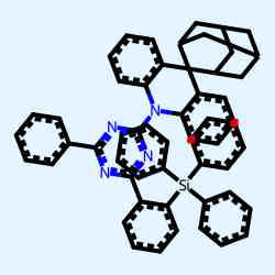 c1ccc(-c2nc(-c3ccccc3[Si](c3ccccc3)(c3ccccc3)c3ccccc3)nc(N3c4ccccc4C4(c5ccccc53)C3CC5CC(C3)CC4C5)n2)cc1